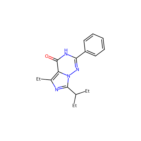 CCc1nc(C(CC)CC)n2nc(-c3ccccc3)[nH]c(=O)c12